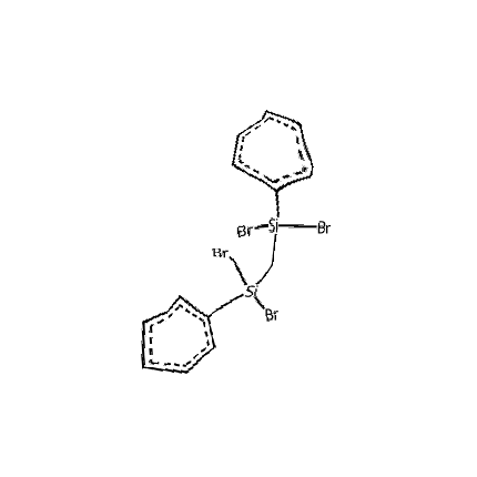 Br[Si](Br)(C[Si](Br)(Br)c1ccccc1)c1ccccc1